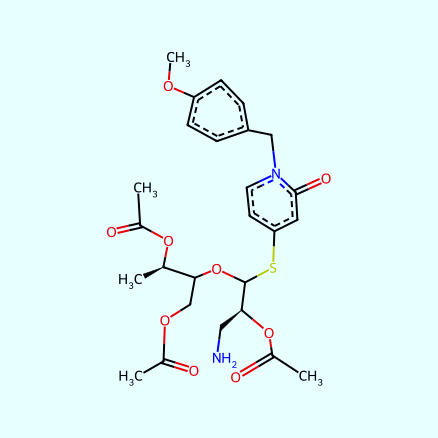 COc1ccc(Cn2ccc(SC(OC(COC(C)=O)[C@@H](C)OC(C)=O)[C@H](CN)OC(C)=O)cc2=O)cc1